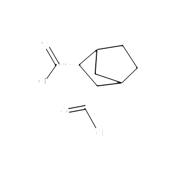 O=C(Cl)[C@@H]1C2CCC(C2)[C@@H]1C(=O)Cl